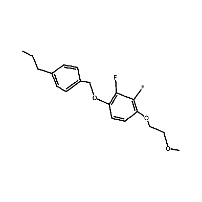 CCCc1ccc(COc2ccc(OCCOC)c(F)c2F)cc1